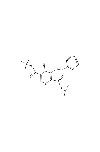 CC(C)(C)OC(=O)c1occ(C(=O)OC(C)(C)C)c(=O)c1OCc1ccccc1